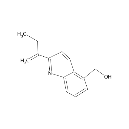 C=C(CC)c1ccc2c(CO)cccc2n1